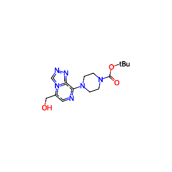 CC(C)(C)OC(=O)N1CCN(c2ncc(CO)n3cnnc23)CC1